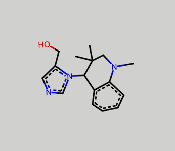 CN1CC(C)(C)C(n2cncc2CO)c2ccccc21